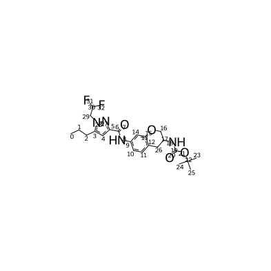 CCCc1cc(C(=O)Nc2ccc3c(c2)OCC(NC(=O)OC(C)(C)C)C3)nn1CC(F)F